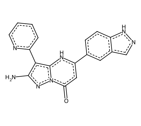 Nc1nn2c(=O)cc(-c3ccc4[nH]ncc4c3)[nH]c2c1-c1ccccn1